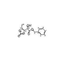 O=C(OCc1ccccc1)C(O)c1oc(=O)oc1I